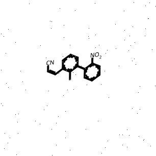 Cc1c(/C=C\C#N)cccc1-c1ccccc1[N+](=O)[O-]